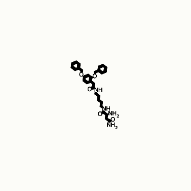 NC(=O)C[C@H](N)C(=O)NCCCCCNC(=O)Cc1ccc(OCc2ccccc2)cc1OCc1ccccc1